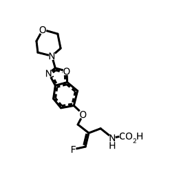 O=C(O)NC/C(=C/F)COc1ccc2nc(N3CCOCC3)oc2c1